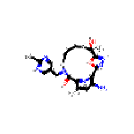 CC(C)(C)c1ncc(CN2CCCCC[C@](O)(C(F)(F)F)c3nnc(o3)-c3nc(c(C(F)(F)F)cc3N)C2=O)cn1